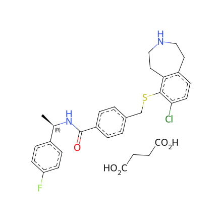 C[C@@H](NC(=O)c1ccc(CSc2c(Cl)ccc3c2CCNCC3)cc1)c1ccc(F)cc1.O=C(O)CCC(=O)O